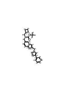 CC(C)(C)OC(=O)N(Cc1ccc2nc(Cn3cc(-c4cccnc4)nn3)cn2c1)CC1CCC1